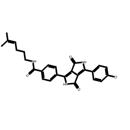 CC(C)=CCCCNC(=O)c1ccc(C2=C3C(=O)NC(c4ccc(Cl)cc4)=C3C(=O)N2)cc1